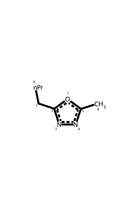 CCCCc1nnc(C)o1